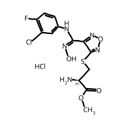 COC(=O)[C@@H](N)CSc1nonc1C(=NO)Nc1ccc(F)c(Cl)c1.Cl